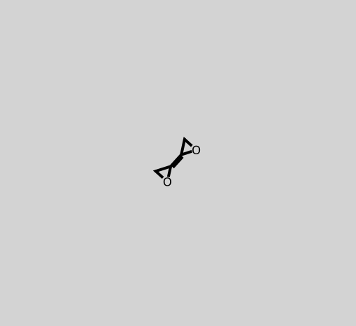 C1OC1=C1CO1